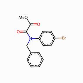 COC(=O)C(=O)N(Cc1ccccc1)c1ccc(Br)cc1